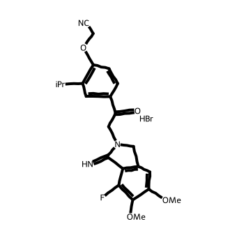 Br.COc1cc2c(c(F)c1OC)C(=N)N(CC(=O)c1ccc(OCC#N)c(C(C)C)c1)C2